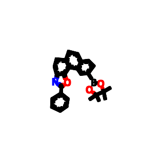 CC1(C)OB(c2ccc3ccc4ccc5nc(-c6ccccc6)oc5c4c3c2)OC1(C)C